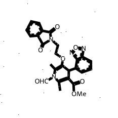 COC(=O)C1=C(C)N(C=O)C(C)=C(OCCN2C(=O)c3ccccc3C2=O)C1c1cccc2nonc12